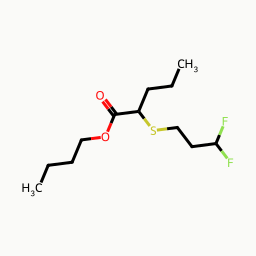 CCCCOC(=O)C(CCC)SCCC(F)F